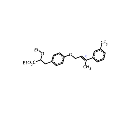 CCOC(=O)C(Cc1ccc(OC/C=C(\C)c2cccc(C(F)(F)F)c2)cc1)OCC